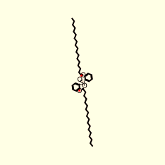 CCCCCCCCCCCCCCCCCC(=O)O[Si](OC(=O)CCCCCCCCCCCCCCCCC)(c1ccccc1)c1ccccc1